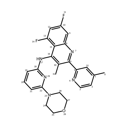 Cc1ccnc(-c2nc3cc(F)cc(F)c3c(Nc3cccc(N4CCOCC4)n3)c2C)c1